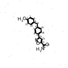 Cc1ccc(Cc2ccc(-c3cc(C(N)=O)on3)cc2)cc1